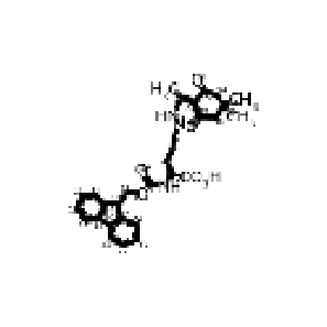 CC(NNCCC[C@@H](NC(=O)OCC1c2ccccc2-c2ccccc21)C(=O)O)=C1C(=O)CC(C)(C)CC1=O